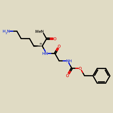 CNC(=O)[C@H](CCCCN)NC(=O)CNC(=O)OCc1ccccc1